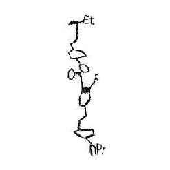 C=C(CC)CCC1CCC(OC(=O)c2ccc(CCc3ccc(CCC)cc3)cc2F)CC1